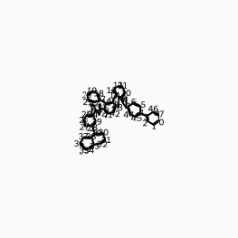 c1ccc(-c2ccc(-n3c4ccccc4c4c5c6ccccc6n(-c6cccc(-c7cccc8ccccc78)c6)c5ccc43)cc2)cc1